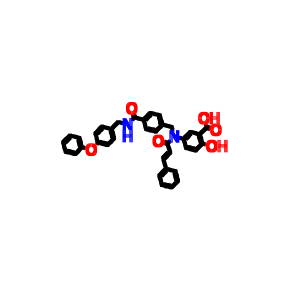 O=C(NCc1ccc(Oc2ccccc2)cc1)c1ccc(CN(C(=O)/C=C/c2ccccc2)c2ccc(O)c(C(=O)O)c2)cc1